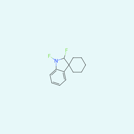 FC1N(F)c2ccccc2C12CCCCC2